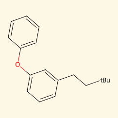 CC(C)(C)CCc1cccc(Oc2ccccc2)c1